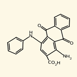 Nc1c(C(=O)O)cc(Nc2ccccc2)c2c1C(=O)c1ccccc1C2=O